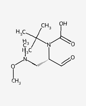 CON(C)C[C@@H](C=O)N(C(=O)O)C(C)(C)C